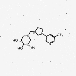 OC1[C@H](O)CN(C[C@H]2CCN(c3cncc(C(F)(F)F)c3)C2)C[C@@H]1O